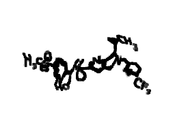 CC1=CC1C1c2ncc(C(=O)N[C@@H](CO)c3ccc(S(C)(=O)=O)cn3)cc2CN1CC1CCC(C(F)(F)F)CC1